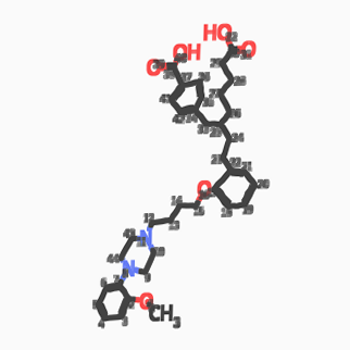 COc1ccccc1N1CCN(CCCCOc2ccccc2CCC(CCCCC(=O)O)Cc2ccc(C(=O)O)cc2)CC1